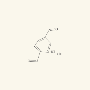 Cl.Cl.O=Cc1ccc(C=O)cc1